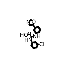 O/N=C(\Nc1cccc(Cl)c1)Nc1cccc(-c2cnco2)c1